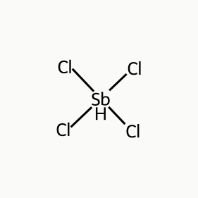 [Cl][SbH]([Cl])([Cl])[Cl]